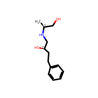 C[C@@H](CO)NC[C@H](O)CCc1ccccc1